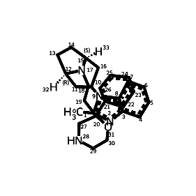 Cc1nc2ccccc2n1C1C[C@H]2CC[C@@H](C1)N2CCC1(c2ccccc2)CNCCO1